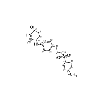 Cc1ccc(S(=O)(=O)OCCc2ccc(NC3CCC(=O)NC3=O)cc2)cc1